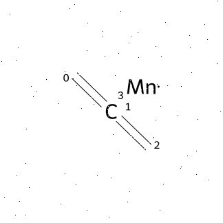 C=C=C.[Mn]